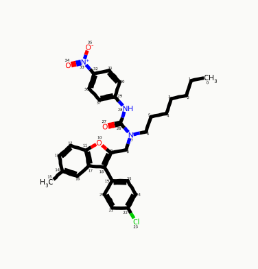 CCCCCCCN(Cc1oc2ccc(C)cc2c1-c1ccc(Cl)cc1)C(=O)Nc1ccc([N+](=O)[O-])cc1